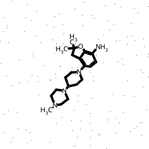 CN1CCN(C2CCN(c3ccc(N)c4c3CC(C)(C)O4)CC2)CC1